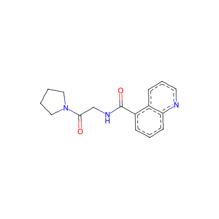 O=C(NCC(=O)N1CCCC1)c1cccc2ncccc12